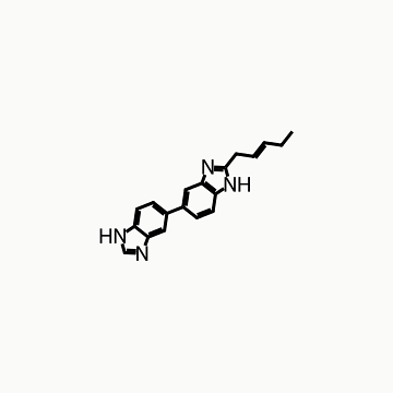 CCC=CCc1nc2cc(-c3ccc4[nH]cnc4c3)ccc2[nH]1